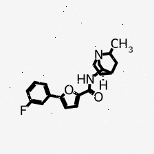 CC1CC2CCN1C[C@@H]2NC(=O)c1ccc(-c2cccc(F)c2)o1